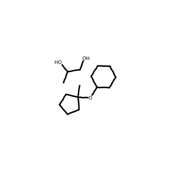 CC(O)CO.CC1(OC2CCCCC2)CCCC1